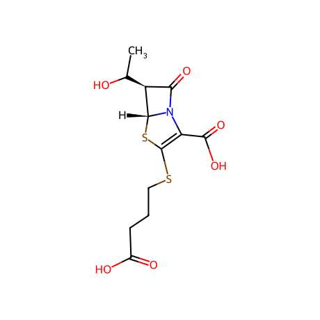 CC(O)[C@H]1C(=O)N2C(C(=O)O)=C(SCCCC(=O)O)S[C@H]12